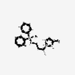 C[C@H](CCO[Si](c1ccccc1)(c1ccccc1)C(C)(C)C)n1ncc(Br)n1